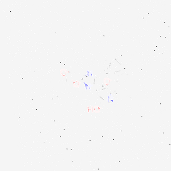 OCc1cc(-c2cncc(OC3COC3)n2)c(OCc2ccccc2)cn1